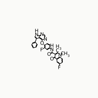 Cc1c(C(=O)Nc2ccc(Oc3ncnc4[nH]cc(-c5ccccc5)c34)c(F)c2)c(=O)c2cc(F)ccc2n1C